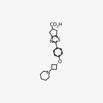 O=C(O)C1Cc2nc(-c3ccc(O[C@H]4C[C@H](N5CCCCC5)C4)cc3)sc2C1